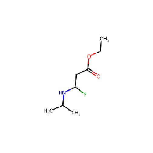 CCOC(=O)CC(F)NC(C)C